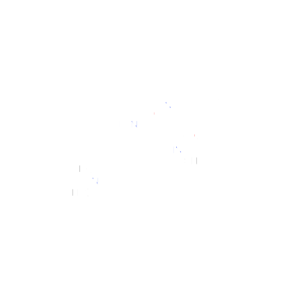 CNC(=O)c1c(-c2ccccc2)noc1C=C(N)c1ccc(CN(C)C)cc1